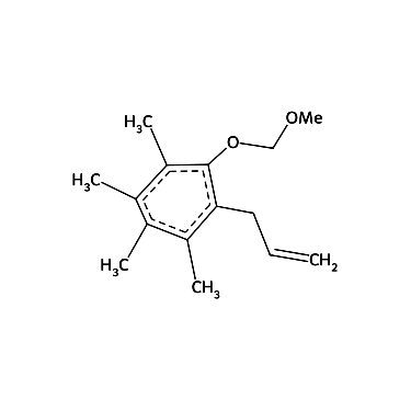 C=CCc1c(C)c(C)c(C)c(C)c1OCOC